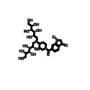 CCN1CN(CC)c2cc(C(=O)N3CCC(N(C[C@H](O)[C@@H](O)[C@H](O)[C@H](O)CO)C[C@H](O)[C@@H](O)[C@H](O)[C@H](O)CO)CC3)ccc21